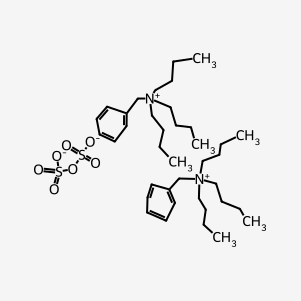 CCCC[N+](CCCC)(CCCC)Cc1ccccc1.CCCC[N+](CCCC)(CCCC)Cc1ccccc1.O=S(=O)([O-])OS(=O)(=O)[O-]